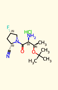 C[C@@H](OC(C)(C)C)[C@H](N)C(=O)N1C[C@@H](F)C[C@H]1C#N.Cl